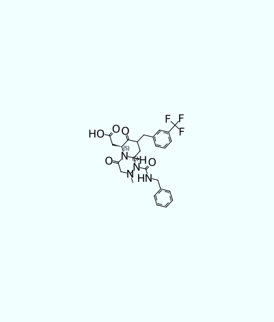 CN1CC(=O)N2[C@@H](CC(=O)O)C(=O)C(Cc3cccc(C(F)(F)F)c3)C[C@@H]2N1C(=O)NCc1ccccc1